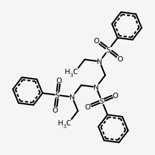 CCN(CN(CN(CC)S(=O)(=O)c1ccccc1)S(=O)(=O)c1ccccc1)S(=O)(=O)c1ccccc1